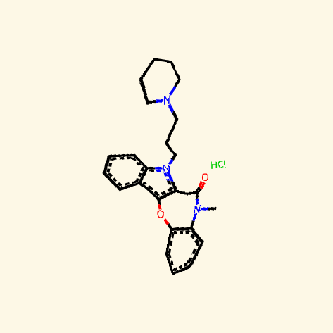 CN1C(=O)c2c(c3ccccc3n2CCCN2CCCCC2)Oc2ccccc21.Cl